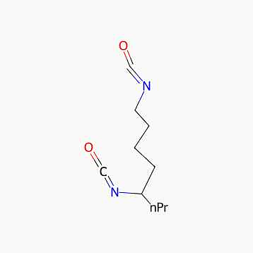 CCCC(CCCCN=C=O)N=C=O